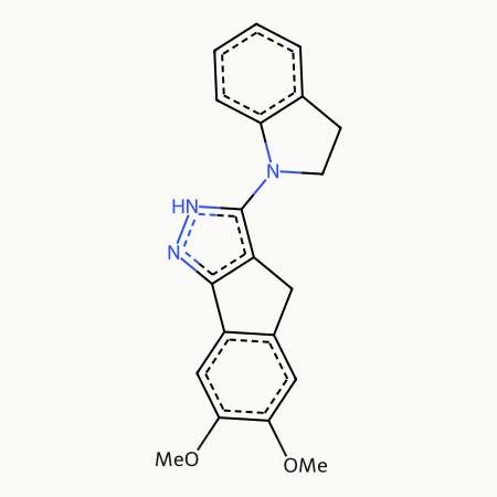 COc1cc2c(cc1OC)-c1n[nH]c(N3CCc4ccccc43)c1C2